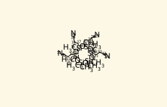 C[Si]1(C)O[Si](C)(C)O[Si](C)(CCC#N)O[Si](C)(CCC#N)O[Si](C)(CCC#N)O[Si](C)(CCC#N)O1